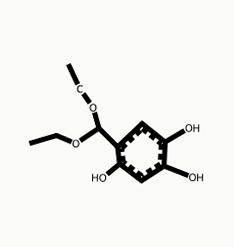 CCOC(OCC)c1cc(O)c(O)cc1O